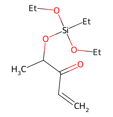 C=CC(=O)C(C)O[Si](CC)(OCC)OCC